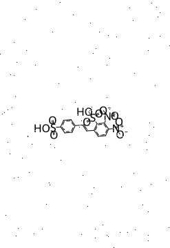 O=[N+]([O-])c1ccc(C=Cc2ccc(S(=O)(=O)O)cc2)c(S(=O)(=O)O)c1[N+](=O)[O-]